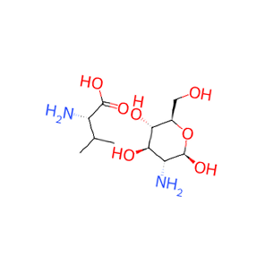 CC(C)[C@H](N)C(=O)O.N[C@@H]1[C@@H](O)[C@H](O)[C@@H](CO)O[C@H]1O